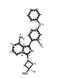 C[C@]1(O)C[C@@H](c2nc(-c3ccc(Oc4ccccc4)cc3Cl)c3c(N)nccn32)C1